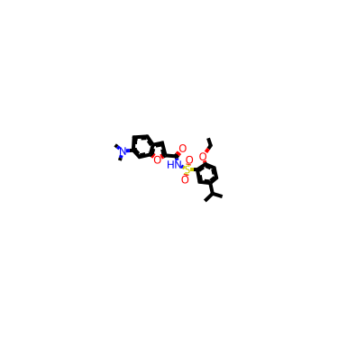 CCOc1ccc(C(C)C)cc1S(=O)(=O)NC(=O)c1cc2ccc(N(C)C)cc2o1